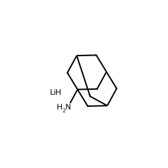 NC12CC3CC(CC(C3)C1)C2.[LiH]